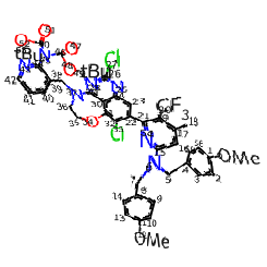 COc1ccc(CN(Cc2ccc(OC)cc2)c2cc(C)c(C(F)(F)F)c(-c3cc4nc(Cl)nc5c4c(c3Cl)OCCN5Cc3cccnc3N(C(=O)OC(C)(C)C)C(=O)OC(C)(C)C)n2)cc1